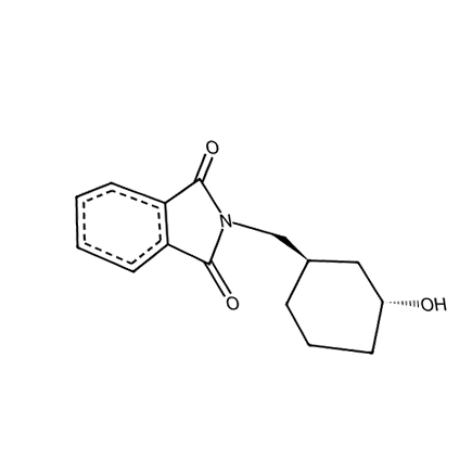 O=C1c2ccccc2C(=O)N1C[C@@H]1CCC[C@@H](O)C1